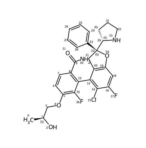 C[C@H](O)COc1ccc(C(N)=O)c(-c2c(Cl)c(F)cc3c2C[C@](c2ccccc2)([C@@H]2CCCN2)O3)c1F